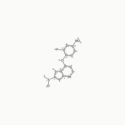 C[S+]([O-])c1cc2nccc(Oc3ccc([N+](=O)[O-])cc3F)c2s1